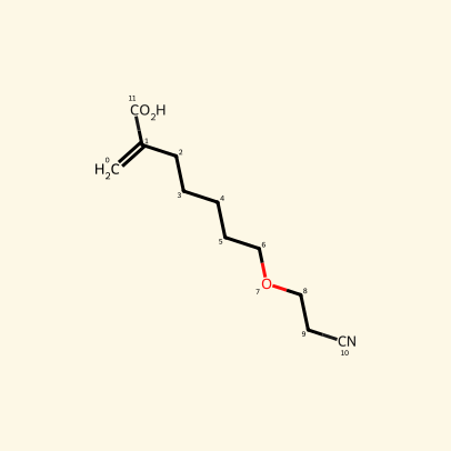 C=C(CCCCCOCCC#N)C(=O)O